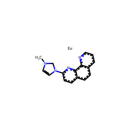 CN1C=CN(c2ccc3ccc4cccnc4c3n2)C1.[Eu]